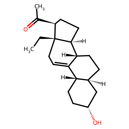 CC[C@]12CC=C3[C@H]4CC[C@@H](O)C[C@@H]4CC[C@H]3[C@@H]1CC[C@@H]2C(C)=O